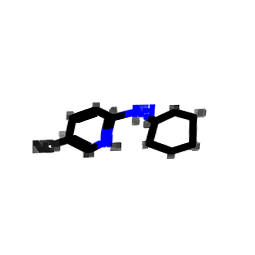 N#Cc1ccc(NC2CC[CH]CC2)nc1